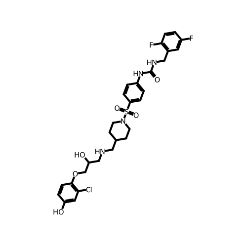 O=C(NCc1cc(F)ccc1F)Nc1ccc(S(=O)(=O)N2CCC(CNCC(O)COc3ccc(O)cc3Cl)CC2)cc1